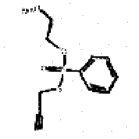 C#CCSP(=O)(OCCOC)c1ccccc1